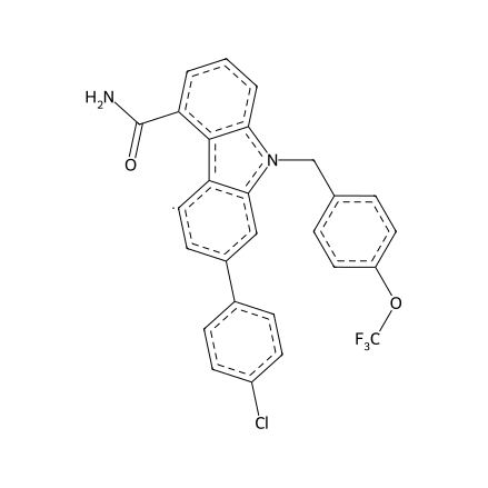 NC(=O)c1cccc2c1c1[c]cc(-c3ccc(Cl)cc3)cc1n2Cc1ccc(OC(F)(F)F)cc1